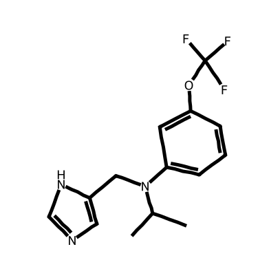 CC(C)N(Cc1cnc[nH]1)c1cccc(OC(F)(F)F)c1